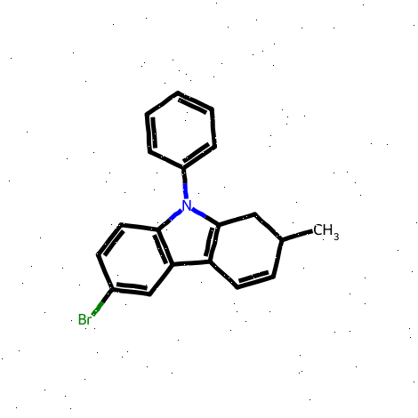 CC1C=Cc2c(n(-c3ccccc3)c3ccc(Br)cc23)C1